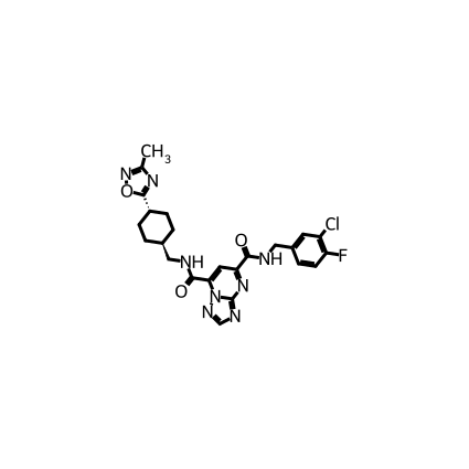 Cc1noc([C@H]2CC[C@H](CNC(=O)c3cc(C(=O)NCc4ccc(F)c(Cl)c4)nc4ncnn34)CC2)n1